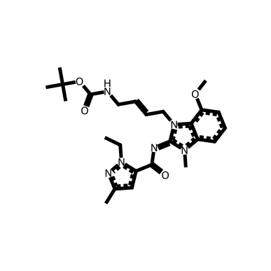 CCn1nc(C)cc1C(=O)/N=c1\n(C)c2cccc(OC)c2n1C/C=C/CNC(=O)OC(C)(C)C